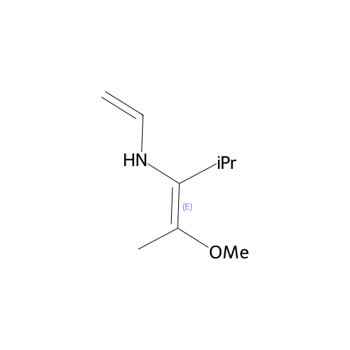 C=CN/C(=C(\C)OC)C(C)C